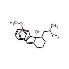 COc1cccc(C2(O)/C(=C\c3ccccc3)CCCC2CN(C)C)c1